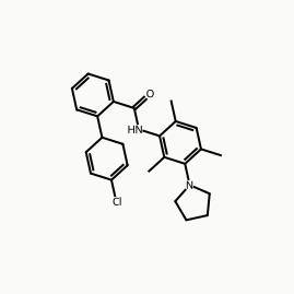 Cc1cc(C)c(N2CCCC2)c(C)c1NC(=O)c1ccccc1C1C=CC(Cl)=CC1